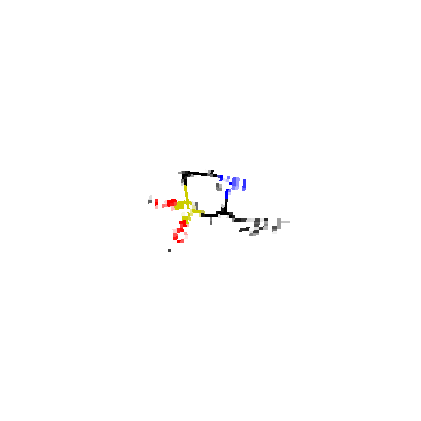 O=C(O)C1CS(=O)(=O)CCN1